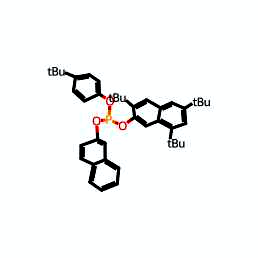 CC(C)(C)c1ccc(OP(Oc2ccc3ccccc3c2)Oc2cc3c(C(C)(C)C)cc(C(C)(C)C)cc3cc2C(C)(C)C)cc1